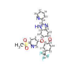 CS(=O)(=O)c1ccc(Oc2cc3[nH]c(-c4ccccn4)nc3cc2Oc2ccc(C(F)(F)F)cc2)cn1